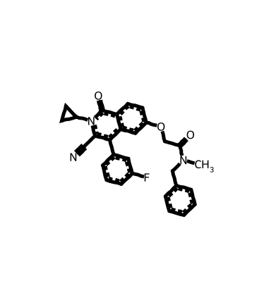 CN(Cc1ccccc1)C(=O)COc1ccc2c(=O)n(C3CC3)c(C#N)c(-c3cccc(F)c3)c2c1